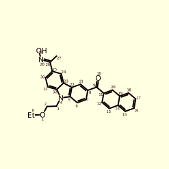 CCOCCn1c2ccc(C(=O)c3ccc4ccccc4c3)cc2c2cc(C(C)=NO)ccc21